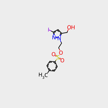 Cc1ccc(S(=O)(=O)OCCn2nc(I)cc2CO)cc1